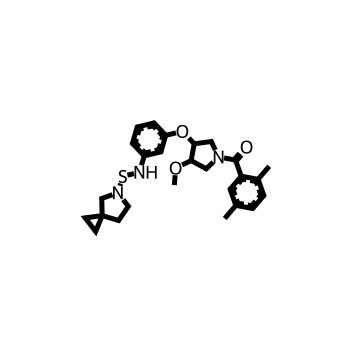 COC1CN(C(=O)c2cc(C)ccc2C)CC1Oc1cccc(NSN2CCC3(CC3)C2)c1